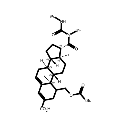 CC(C)NC(=O)N(C(=O)[C@H]1CC[C@H]2[C@@H]3CC=C4C=C(C(=O)O)CC(COC(=O)C(C)(C)C)[C@]4(C)[C@H]3CC[C@]12C)C(C)C